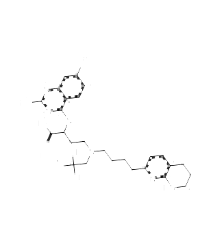 COC(C)(C)CN(CCCCc1ccc2c(n1)NCCC2)CCC(Nc1nc(C)nc2cc(F)ccc12)C(=O)O